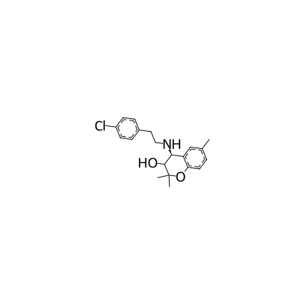 Cc1ccc2c(c1)[C@H](NCCc1ccc(Cl)cc1)C(O)C(C)(C)O2